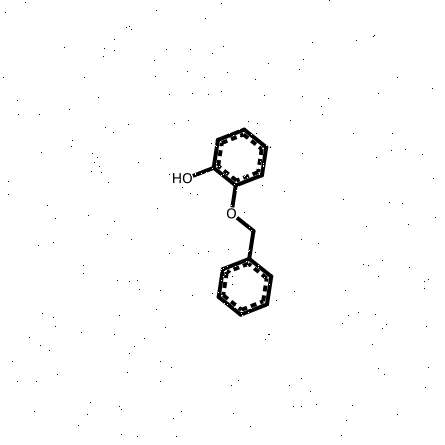 Oc1cc[c]cc1OCc1ccccc1